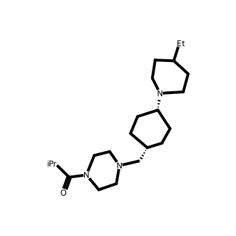 CCC1CCN([C@H]2CC[C@@H](CN3CCN(C(=O)C(C)C)CC3)CC2)CC1